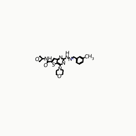 Cc1cccc(/C=N/Nc2nc(N3CCOCC3)c3sc(C(=O)NC4COC4)cc3n2)c1